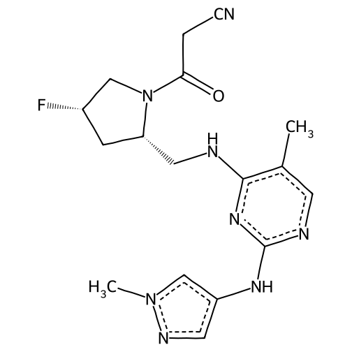 Cc1cnc(Nc2cnn(C)c2)nc1NC[C@@H]1C[C@H](F)CN1C(=O)CC#N